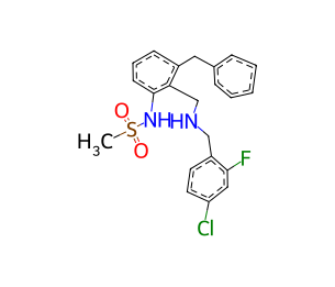 CS(=O)(=O)Nc1cccc(Cc2ccccc2)c1CNCc1ccc(Cl)cc1F